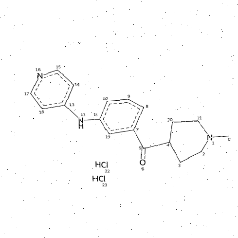 CN1CCC(C(=O)c2cccc(Nc3ccncc3)c2)CC1.Cl.Cl